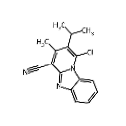 Cc1c(C(C)C)c(Cl)n2c(nc3ccccc32)c1C#N